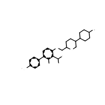 CCCC1CCC(C2CCC(COc3ccc(-c4ccc(C)cc4)c(F)c3C(F)F)OC2)CC1